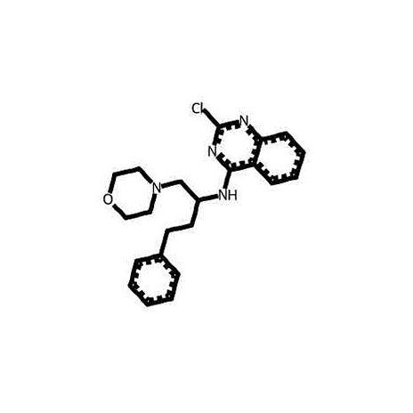 Clc1nc(NC(CCc2ccccc2)CN2CCOCC2)c2ccccc2n1